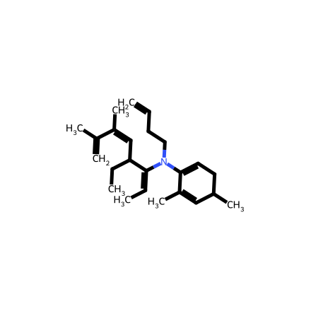 C=CCCN(C1=CCC(C)C=C1C)C(=CC)C(/C=C(/C)C(=C)C)CC